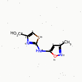 Cc1cc(Nc2nc(C(=O)O)cs2)on1